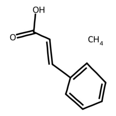 C.O=C(O)/C=C/c1ccccc1